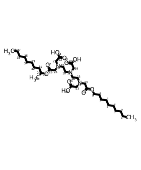 CCCCCCCCCCOC(=O)CN(CCN(CCN(CC(=O)O)CC(=O)OC(C)CCCCCCCC)CC(=O)O)CC(=O)O